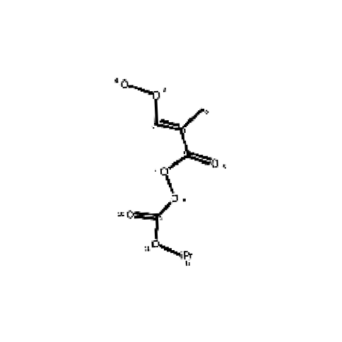 CC(=CO[O])C(=O)OOC(=O)OC(C)C